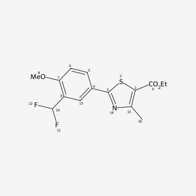 CCOC(=O)c1sc(-c2ccc(OC)c(C(F)F)c2)nc1C